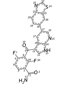 NC(=O)c1ccc(F)c(C(=O)c2c[nH]c3ncc(-c4ccc5ncsc5c4)cc23)c1F